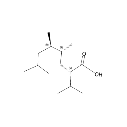 CC(C)C[C@@H](C)[C@H](C)C[C@H](C(=O)O)C(C)C